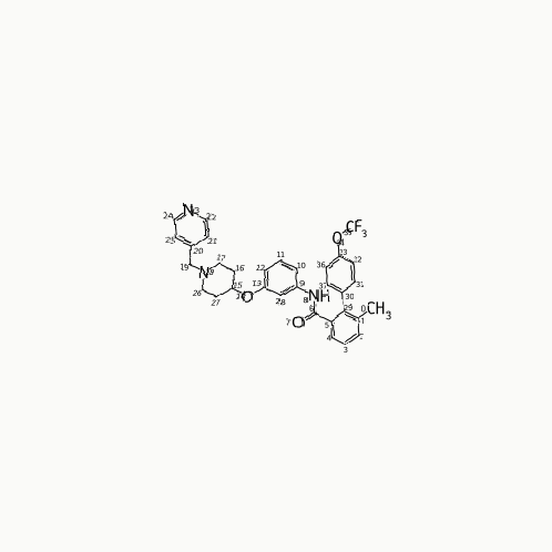 Cc1cccc(C(=O)Nc2cccc(OC3CCN(Cc4ccncc4)CC3)c2)c1-c1ccc(OC(F)(F)F)cc1